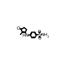 CC1=C(Nc2ccc(S(N)(=O)=O)cc2)CCC1=O